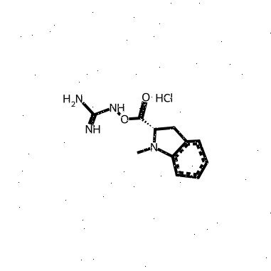 CN1c2ccccc2C[C@H]1C(=O)ONC(=N)N.Cl